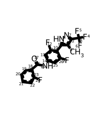 Cc1c(C(F)(F)F)n[nH]c1-c1c(F)cc(NC(=O)c2ccccc2F)cc1F